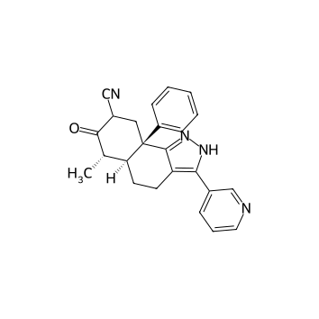 C[C@@H]1C(=O)C(C#N)C[C@]2(c3ccccc3)c3n[nH]c(-c4cccnc4)c3CC[C@@H]12